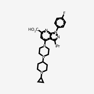 CC(C)c1nn(-c2ccc(F)cc2)c2nc(C(=O)O)cc(N3CCN(C4CCN(C5CC5)CC4)CC3)c12